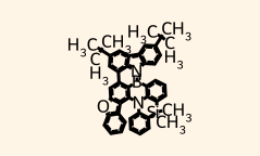 CC(C)(C)c1ccc2c(c1)c1cc(C(C)(C)C)cc3c1n2B1c2cccc4c2N(c2ccccc2[Si]4(C)C)c2c1c-3cc1oc3ccccc3c21